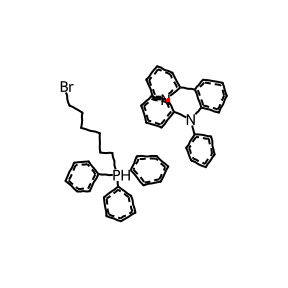 BrCCCCCC[PH](c1ccccc1)(c1ccccc1)c1ccccc1.c1ccc(N(c2ccccc2)c2ccccc2-c2ccccn2)cc1